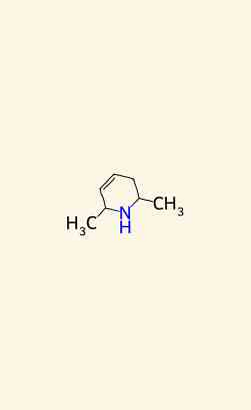 CC1C=CCC(C)N1